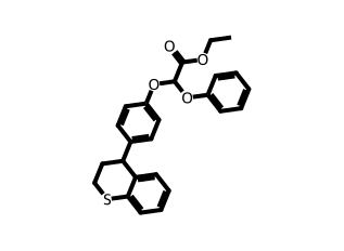 CCOC(=O)C(Oc1ccccc1)Oc1ccc(C2CCSc3ccccc32)cc1